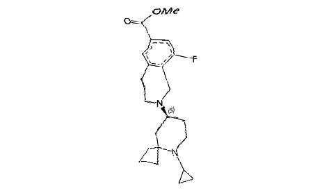 COC(=O)c1cc(F)c2c(c1)CCN([C@H]1CCN(C3CC3)C3(CCC3)C1)C2